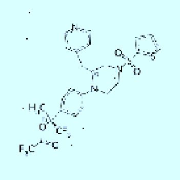 C[C@@](OC(=O)C(F)(F)F)(c1ccc(N2CCN(S(=O)(=O)c3cccs3)C[C@H]2Cc2ccncc2)cc1)C(F)(F)F